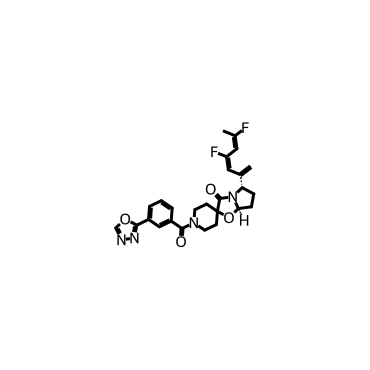 C=C(/C=C(F)\C=C(/C)F)[C@@H]1CC[C@H]2OC3(CCN(C(=O)c4cccc(-c5nnco5)c4)CC3)C(=O)N21